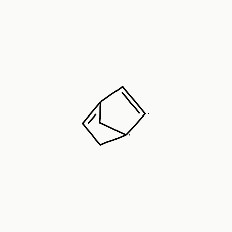 [C]1=CC2=CC[C]1C2